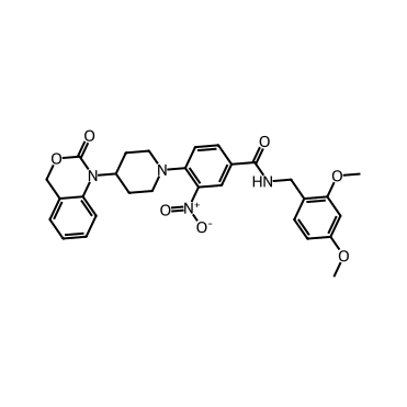 COc1ccc(CNC(=O)c2ccc(N3CCC(N4C(=O)OCc5ccccc54)CC3)c([N+](=O)[O-])c2)c(OC)c1